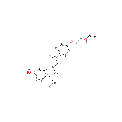 C=COCCOc1ccc(C(C)CCCC(CC)c2ccc(O)cc2)cc1